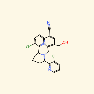 N#Cc1ccc(CN2C(c3ncccc3Cl)CCCC2c2ncccc2Cl)c(CO)c1